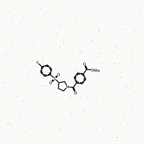 COC(=O)c1ccc(C(=O)N2CCC(S(=O)(=O)c3ccc(F)cc3)C2)cc1